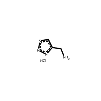 Cl.NCc1csnn1